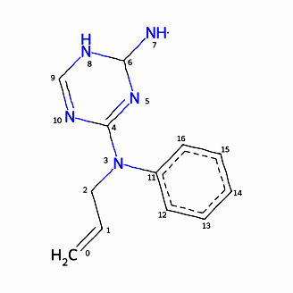 C=CCN(C1=NC([NH])NC=N1)c1ccccc1